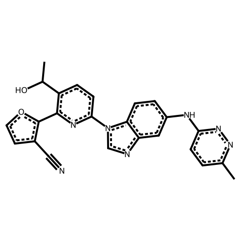 Cc1ccc(Nc2ccc3c(c2)ncn3-c2ccc(C(C)O)c(-c3occc3C#N)n2)nn1